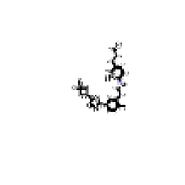 Cc1ccc(-c2noc(C3CC(F)(F)C3)n2)cc1CC/N=c1/ccc(CCC=O)c[nH]1